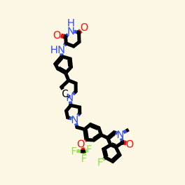 Cn1cc(-c2ccc(CN3CCC(N4CCC(c5ccc(NC6CCC(=O)NC6=O)cc5)CC4)CC3)c(OC(F)(F)F)c2)c2cc(F)ccc2c1=O